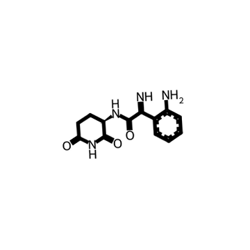 N=C(C(=O)N[C@@H]1CCC(=O)NC1=O)c1ccccc1N